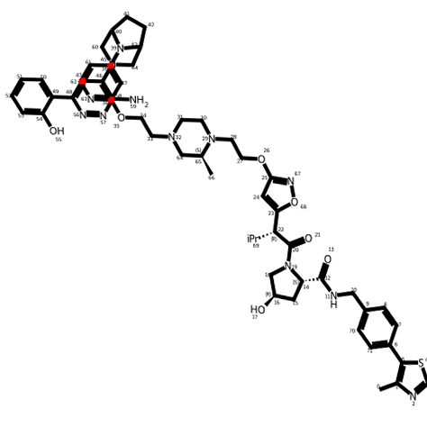 Cc1ncsc1-c1ccc(CNC(=O)[C@@H]2C[C@@H](O)CN2C(=O)[C@@H](c2cc(OCCN3CCN(CCOc4cc(N5C6CCC5CN(c5cc(-c7ccccc7O)nnc5N)C6)ccn4)C[C@@H]3C)no2)C(C)C)cc1